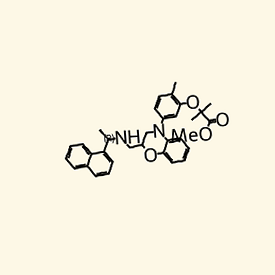 COC(=O)C(C)(C)Oc1cc(N2CC(CN[C@H](C)c3cccc4ccccc34)Oc3ccccc32)ccc1C